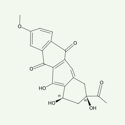 COc1ccc2c(c1)C(=O)c1c(cc3c(c1O)[C@H](O)C[C@@](O)(C(C)=O)C3)C2=O